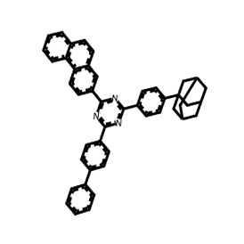 c1ccc(-c2ccc(-c3nc(-c4ccc(C56CC7CC(CC(C7)C5)C6)cc4)nc(-c4ccc5c(ccc6ccccc65)c4)n3)cc2)cc1